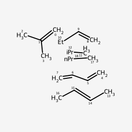 C=C(C)C.C=CC=C.C=CCC.CC(C)C.CC=CC.CCCC